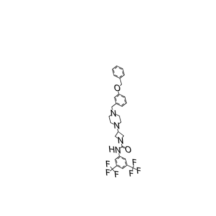 O=C(Nc1cc(C(F)(F)F)cc(C(F)(F)F)c1)N1CC(N2CCN(Cc3cccc(OCc4ccccc4)c3)CC2)C1